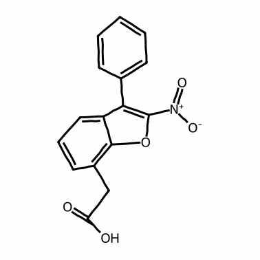 O=C(O)Cc1cccc2c(-c3ccccc3)c([N+](=O)[O-])oc12